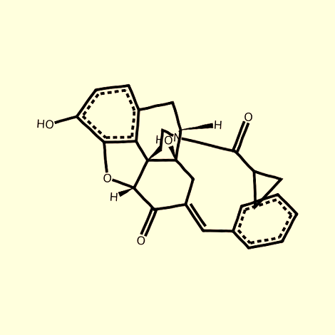 O=C1/C(=C/c2ccccc2)C[C@@]2(O)[C@H]3Cc4ccc(O)c5c4[C@@]2(CCN3C(=O)C2CC2)[C@H]1O5